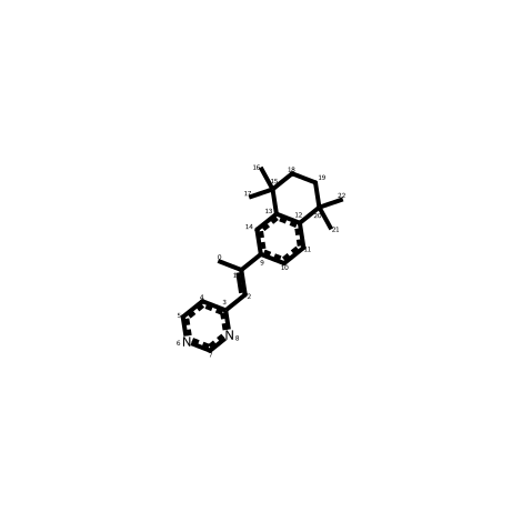 C/C(=C\c1ccncn1)c1ccc2c(c1)C(C)(C)CCC2(C)C